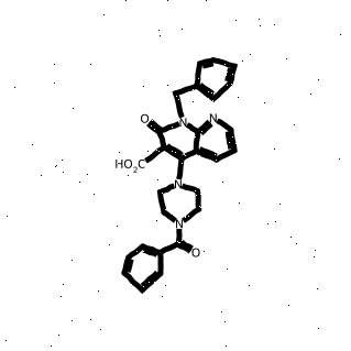 O=C(O)c1c(N2CCN(C(=O)c3ccccc3)CC2)c2cccnc2n(Cc2ccccc2)c1=O